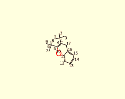 CC(C)(C)C1=C(C(C)(C)C)Oc2ccccc2C1